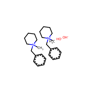 C[N+]1(Cc2ccccc2)CCCCC1.C[N+]1(Cc2ccccc2)CCCCC1.[OH-].[OH-]